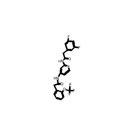 O=C(Cc1ccccc1OC(F)(F)F)Nc1ccnc(NC(=O)Cc2cc(F)cc(F)c2)c1